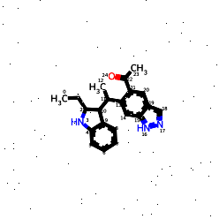 CCC1Nc2ccccc2C1C(C)c1cc2[nH]ncc2cc1C(C)=O